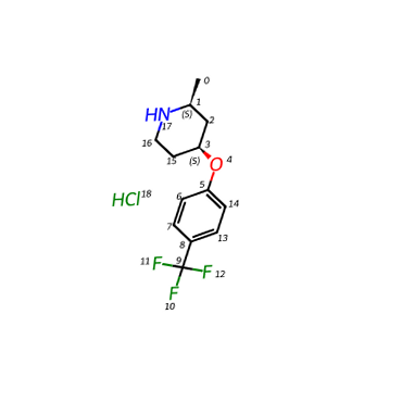 C[C@H]1C[C@@H](Oc2ccc(C(F)(F)F)cc2)CCN1.Cl